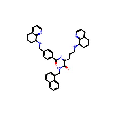 O=C(N[C@@H](CCCNC1CCCc2cccnc21)C(=O)NCc1cccc2ccccc12)c1ccc(CNC2CCCc3cccnc32)cc1